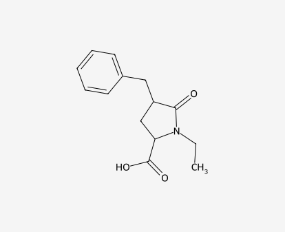 CCN1C(=O)C(Cc2ccccc2)CC1C(=O)O